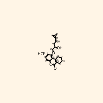 Cl.O=c1oc2cccc(OCC(O)CNC3CC3)c2c2c1CCCC2